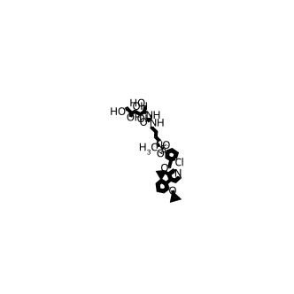 CN(CCCCNC(=O)NC(CO)C(O)C(O)C(O)CO)S(=O)(=O)c1ccc(Cl)c(COC2(c3cnccc3-c3ccccc3OC3CC3)CC2)c1